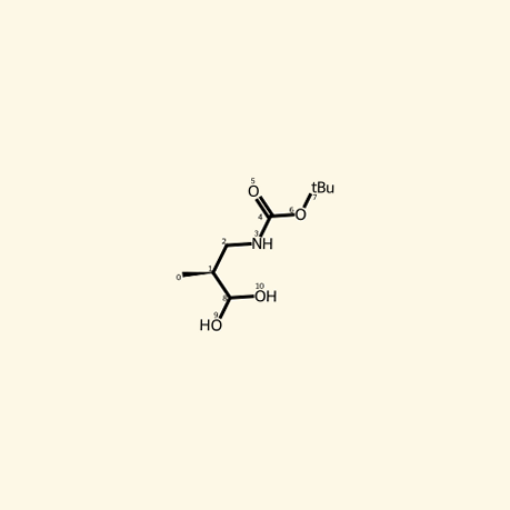 C[C@@H](CNC(=O)OC(C)(C)C)C(O)O